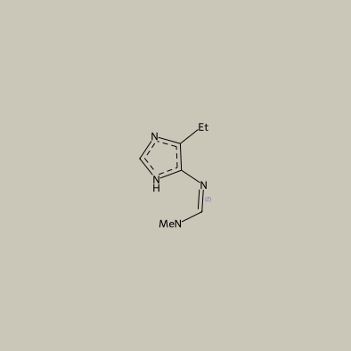 CCc1nc[nH]c1/N=C\NC